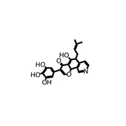 CC(C)=CCC1C(O)=C2C(=O)C(c3cc(O)c(O)c(O)c3)=COC2c2cnccc21